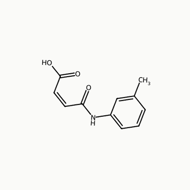 Cc1cccc(NC(=O)/C=C\C(=O)O)c1